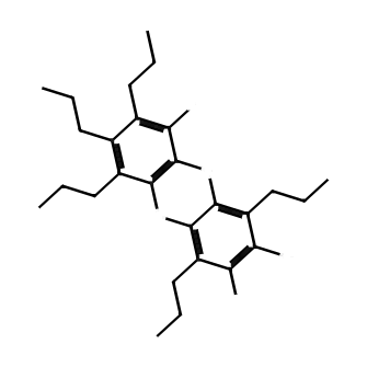 CCCc1c(Br)c2c(c(CCC)c1CCC)Oc1c(CCC)c(O)c(O)c(CCC)c1O2